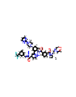 CN(CCN1CCOCC1)C(=O)c1cccc(C(=O)Nc2ccc(N3CCN(c4ncccn4)CC3)cc2-c2cc(C(=O)NCc3cccc(C(F)(F)F)c3)ccn2)c1